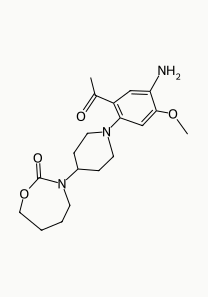 COc1cc(N2CCC(N3CCCCOC3=O)CC2)c(C(C)=O)cc1N